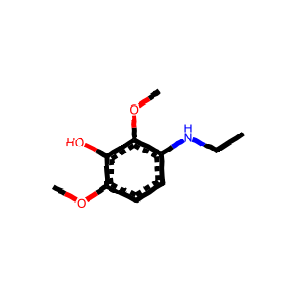 CCNc1ccc(OC)c(O)c1OC